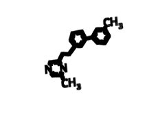 Cc1cccc(-c2cccc(CCc3cncc(C)n3)c2)c1